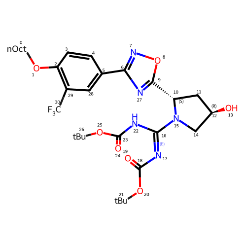 CCCCCCCCOc1ccc(-c2noc([C@@H]3C[C@@H](O)CN3/C(=N/C(=O)OC(C)(C)C)NC(=O)OC(C)(C)C)n2)cc1C(F)(F)F